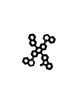 C=C1c2ccccc2-c2ccc(-c3c4ccc(N5CCCc6ccccc65)cc4c(-c4ccc5ccccc5c4)c4ccc(N5CCCc6ccccc65)cc34)cc21